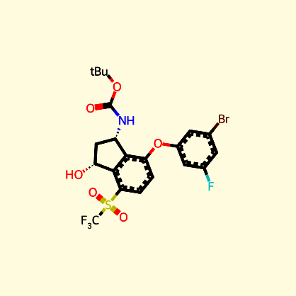 CC(C)(C)OC(=O)N[C@H]1C[C@@H](O)c2c(S(=O)(=O)C(F)(F)F)ccc(Oc3cc(F)cc(Br)c3)c21